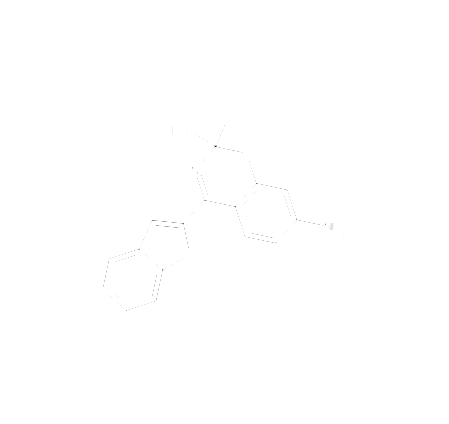 CC1(C)N=C(c2cc3ccccc3o2)c2ccc(N)cc2O1